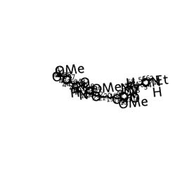 CCNCc1ccc(C2=CN3C(=O)c4cc(OC)c(OCCCCCOc5cc6c(cc5OC)C(=O)N5C=C(c7ccc(C(=O)OC)cc7)C[C@H]5C=N6)cc4N=C[C@@H]3C2)cc1